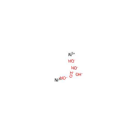 [Al+3].[Ni+2].[OH-].[OH-].[OH-].[OH-].[OH-]